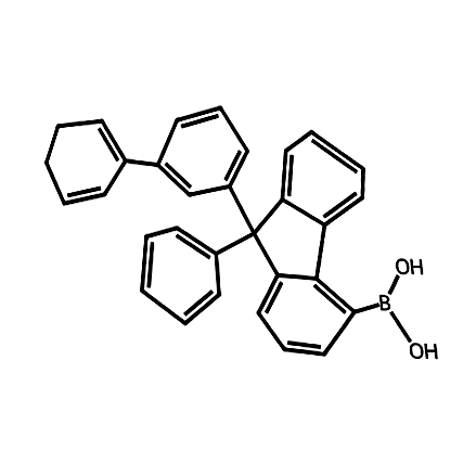 OB(O)c1cccc2c1-c1ccccc1C2(c1ccccc1)c1cccc(C2=CCCC=C2)c1